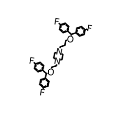 Fc1ccc(C(OCCCN2CCN(CCOC(c3ccc(F)cc3)c3ccc(F)cc3)CC2)c2ccc(F)cc2)cc1